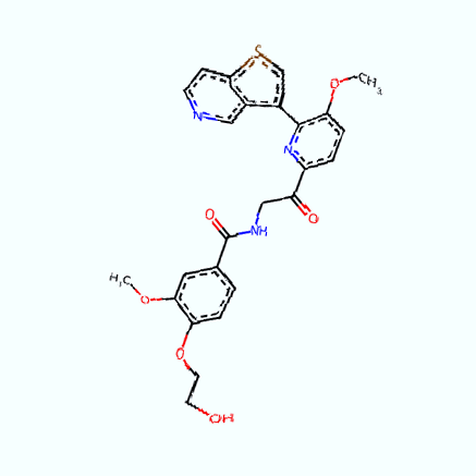 COc1cc(C(=O)NCC(=O)c2ccc(OC)c(-c3csc4ccncc34)n2)ccc1OCCO